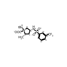 C[C@H]1C[C@@H](NS(=O)(=O)c2cccc(C(F)(F)F)c2)C[N+]1(C(=O)[O-])C(C)(C)C